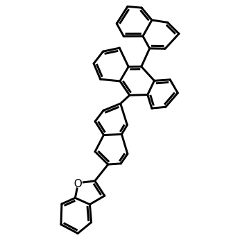 c1ccc2oc(-c3ccc4cc(-c5c6ccccc6c(-c6cccc7ccccc67)c6ccccc56)ccc4c3)cc2c1